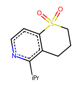 CC(C)c1nccc2c1CCCS2(=O)=O